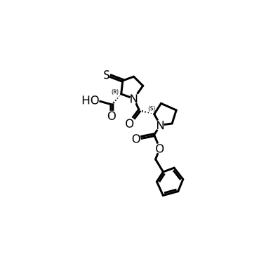 O=C(O)[C@@H]1C(=S)CCN1C(=O)[C@@H]1CCCN1C(=O)OCc1ccccc1